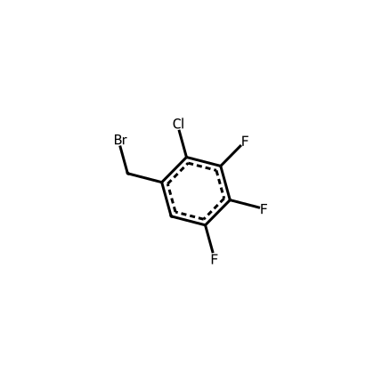 Fc1cc(CBr)c(Cl)c(F)c1F